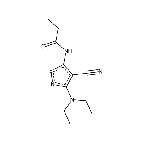 CCC(=O)Nc1snc(N(CC)CC)c1C#N